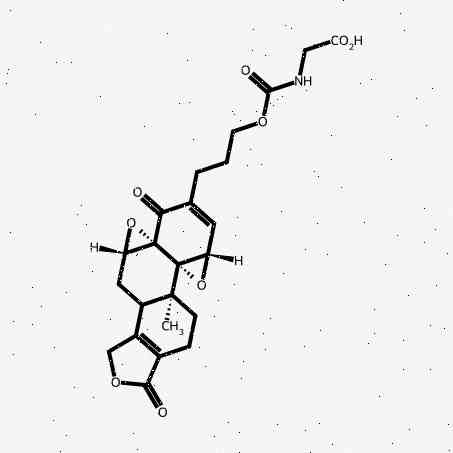 C[C@]12CCC3=C(COC3=O)C1C[C@@H]1O[C@@]13C(=O)C(CCCOC(=O)NCC(=O)O)=C[C@@H]1O[C@]123